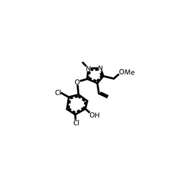 C=Cc1c(COC)nn(C)c1Oc1cc(O)c(Cl)cc1Cl